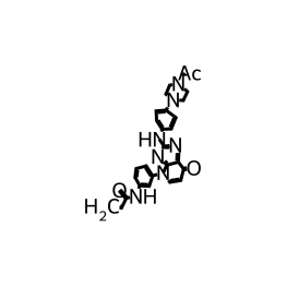 C=CC(=O)Nc1cccc(-n2ccc(=O)c3cnc(Nc4ccc(N5CCN(C(C)=O)CC5)cc4)nc32)c1